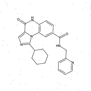 O=C(NCc1ccccn1)c1ccc2[nH]c(=O)c3cnc(C4CCCCC4)n3c2c1